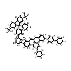 CC(C)(C)c1ccc2c(c1)C(c1ccccc1)(c1ccc(-c3cccc4c3oc3c(CC(Cc5ccc(-c6ccc(-c7ccccc7)cc6)cc5)c5ccc(-c6ccccc6)cc5)cccc34)cc1)c1cc(C(C)(C)C)ccc1-2